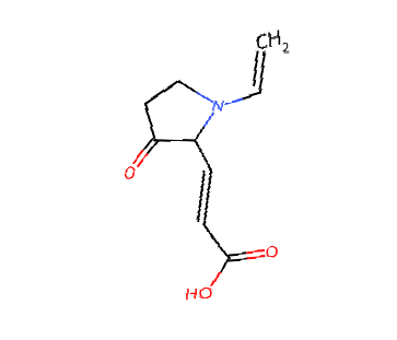 C=CN1CCC(=O)C1C=CC(=O)O